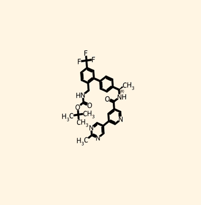 Cc1ncc(-c2cncc(C(=O)N[C@H](C)c3ccc(-c4cc(C(F)(F)F)ccc4CNC(=O)OC(C)(C)C)cc3)c2)cn1